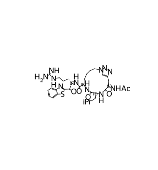 CC(=O)N[C@H]1Cc2cn(nn2)CCCC[C@H](C(=O)N[C@@H](CCCNC(=N)N)C(=O)c2nc3ccccc3s2)NC(=O)[C@H](CC(C)C)NC1=O